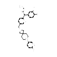 CCON=C(c1ccc(F)c(F)c1)c1ccc(CN2CC3(CCN(c4ccc(F)nc4)CC3)C2)cn1